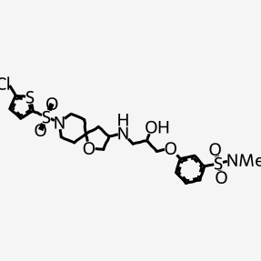 CNS(=O)(=O)c1cccc(OCC(O)CNC2COC3(CCN(S(=O)(=O)c4ccc(Cl)s4)CC3)C2)c1